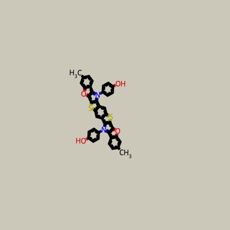 Cc1ccc2c(c1)oc1c3sc4cc5c(cc4c3n(-c3ccc(O)cc3)c21)sc1c2oc3cc(C)ccc3c2n(-c2ccc(O)cc2)c51